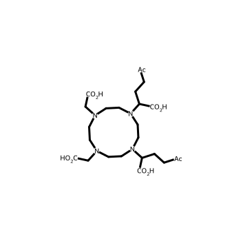 CC(=O)CCC(C(=O)O)N1CCN(CC(=O)O)CCN(CC(=O)O)CCN(C(CCC(C)=O)C(=O)O)CC1